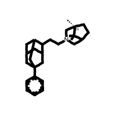 CC1(C)C2CC[C@]1(C)CN(CCC1C3CC4CC1CC(c1ccccc1)(C4)C3)C2